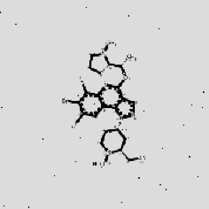 C[C@H](Oc1nc2c(F)c(Br)c(I)cc2c2c1cnn2[C@H]1CCN(C(=O)O)[C@H](CC#N)C1)[C@@H]1CCCN1C